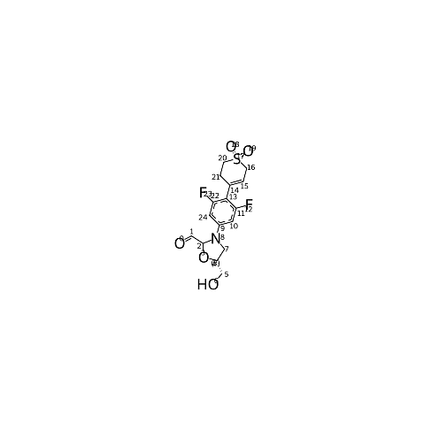 O=CC1O[C@@H](CO)CN1c1cc(F)c(C2=CCS(=O)(=O)CC2)c(F)c1